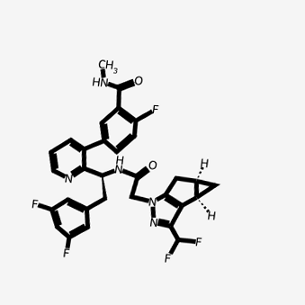 CNC(=O)c1cc(-c2cccnc2[C@H](Cc2cc(F)cc(F)c2)NC(=O)Cn2nc(C(F)F)c3c2C[C@H]2C[C@@H]32)ccc1F